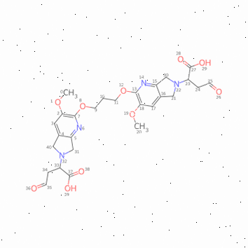 COc1cc2c(nc1OCCCOc1nc3c(cc1OC)CN(C(CC=O)C(=O)O)C3)CN(C(CC=O)C(=O)O)C2